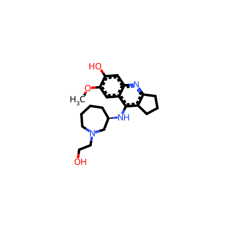 COc1cc2c(N[C@@H]3CCCCN(CCO)C3)c3c(nc2cc1O)CCC3